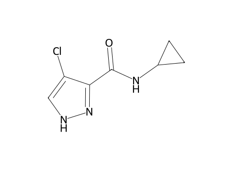 O=C(NC1CC1)c1n[nH]cc1Cl